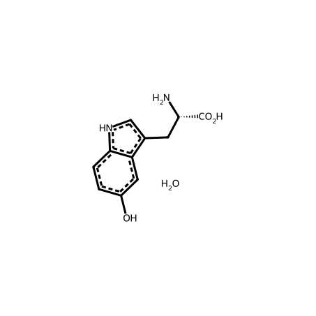 N[C@@H](Cc1c[nH]c2ccc(O)cc12)C(=O)O.O